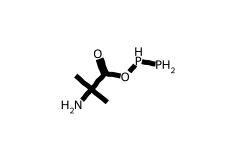 CC(C)(N)C(=O)OPP